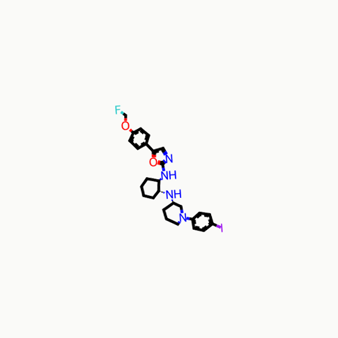 FCOc1ccc(-c2cnc(N[C@@H]3CCCC[C@H]3N[C@H]3CCCN(c4ccc(I)cc4)C3)o2)cc1